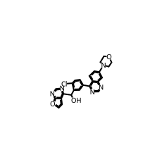 OC(c1cc(-c2ncnc3cc(N4CCOCC4)ccc23)ccc1Cl)c1ncnc2occc12